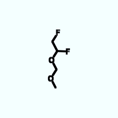 COCOC(F)CF